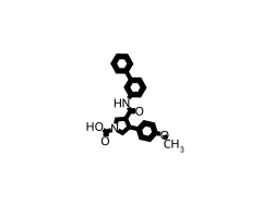 COc1ccc(C2CN(C(=O)O)CC2C(=O)Nc2cccc(-c3ccccc3)c2)cc1